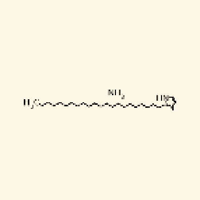 CCCCCCCCCCCCCCCCCCCCCCc1ncc[nH]1.N